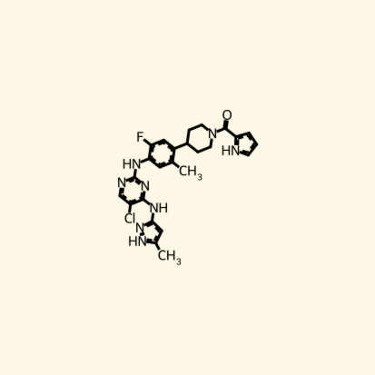 Cc1cc(Nc2nc(Nc3cc(C)c(C4CCN(C(=O)c5ccc[nH]5)CC4)cc3F)ncc2Cl)n[nH]1